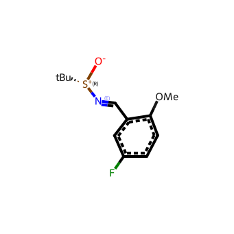 COc1ccc(F)cc1/C=N/[S@@+]([O-])C(C)(C)C